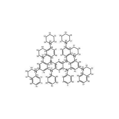 c1ccc(N2c3cc4c(cc3B3c5ccc(N6CCCCC6)c6c5N(CCC6)c5cc(N6CCCc7ccccc76)cc2c53)B2c3ccc(N5CCCCC5)c5c3N(CCC5)c3cc(N5CCCc6ccccc65)cc(c32)N4c2ccccc2)cc1